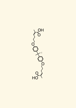 [CH]C(C)(c1ccc(OCCCC=C(C)C(=O)O)cc1)c1ccc(OCCCC=C(C)C(=O)O)cc1